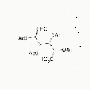 CC(=O)O[C@@H]([C@H](OC(C)=O)[C@H](OC(C)=O)C(=O)O)[C@H](C=O)OC(C)=O